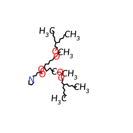 CCCCCC(CCCCC)CCOC(C)OCCCCCC(CCCCCOC(C)OCCC(CCCCC)CCCCC)OC(=O)CCCN1CCCC1